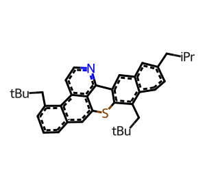 CC(C)Cc1ccc2c(CC(C)(C)C)c3c(cc2c1)-c1nccc2c1c(cc1cccc(CC(C)(C)C)c12)S3